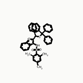 Cc1cc(C)c(S(=O)(=O)Nc2c(C(SC(c3ccccc3)(c3ccccc3)c3ccccc3)c3ccccc3)oc3ccccc23)c(C)c1